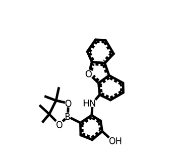 CC1(C)OB(c2ccc(O)cc2Nc2cccc3c2oc2ccccc23)OC1(C)C